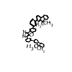 CC1(C)c2ccccc2-c2ccc(-c3cccc(-c4ccc5oc6c(-c7cccc(-c8ccc9c(c8)C(C)(C)c8ccccc8-9)c7)ncnc6c5c4)c3)cc21